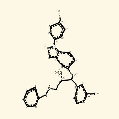 N[C@@H](COCc1ccccc1)C(Oc1ccc2c(cnn2-c2ccc(F)cc2)c1)c1cccc(F)c1